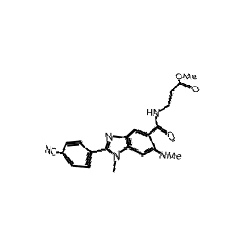 CNc1cc2c(cc1C(=O)NCCC(=O)OC)nc(-c1ccc(C#N)cc1)n2C